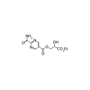 CCOC(=O)C(O)COC(=O)c1cnc(C(N)=O)nc1